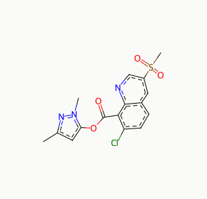 Cc1cc(OC(=O)c2c(Cl)ccc3cc(S(C)(=O)=O)cnc23)n(C)n1